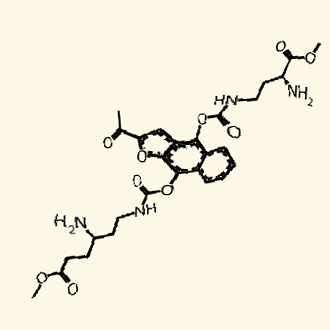 COC(=O)CC[C@@H](N)CCNC(=O)Oc1c2ccccc2c(OC(=O)NCC[C@H](N)C(=O)OC)c2cc(C(C)=O)oc12